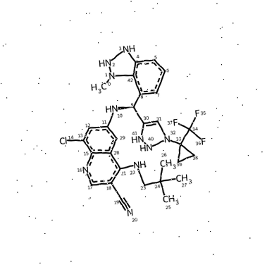 CN1NNc2cccc([C@H](Nc3cc(Cl)c4ncc(C#N)c(NCC(C)(C)C)c4c3)C3=CN(C4(C(F)(F)F)CC4)NN3)c21